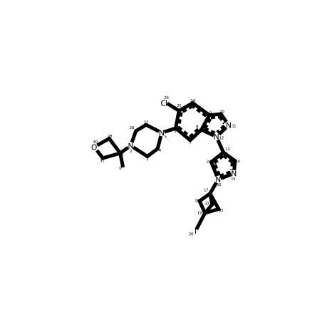 CC1(N2CCN(c3cc4c(cnn4-c4cnn(C56CC(I)(C5)C6)c4)cc3Cl)CC2)COC1